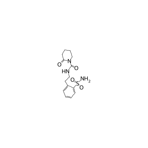 NS(=O)(=O)c1ccccc1CCNC(=O)N1CCCCC1=O